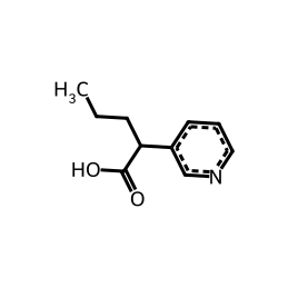 CCCC(C(=O)O)c1cccnc1